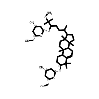 CC(CCC(O[C@H]1C[C@@H](N=O)C[C@@H](CN=O)O1)C(C)(C)ON)C1CCC2(C)C3CC=C4C(CC[C@H](O[C@H]5C[C@@H](N=O)C[C@@H](CN=O)O5)C4(C)C)C3(C)CCC12C